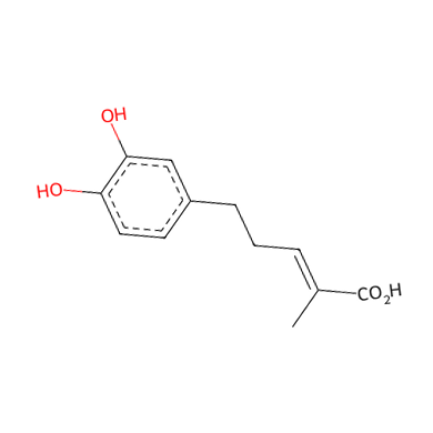 CC(=CCCc1ccc(O)c(O)c1)C(=O)O